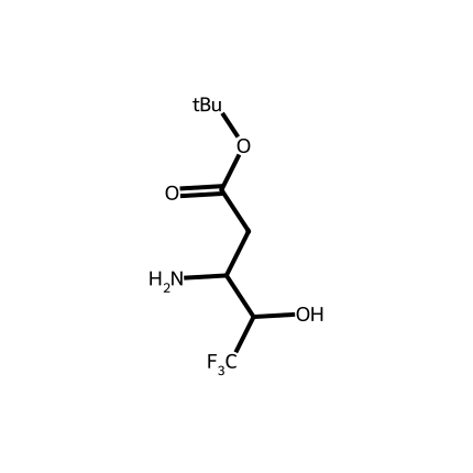 CC(C)(C)OC(=O)CC(N)C(O)C(F)(F)F